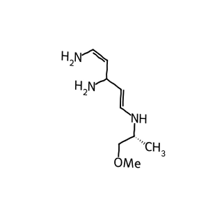 COC[C@@H](C)N/C=C/C(N)/C=C\N